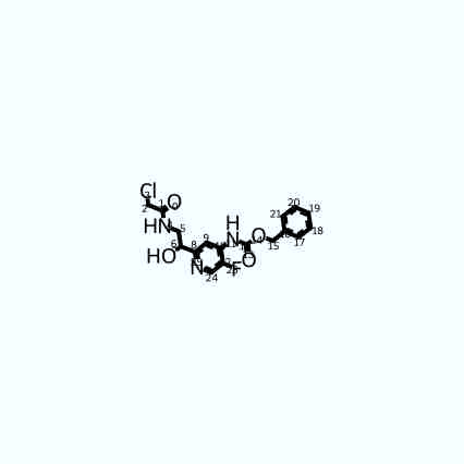 O=C(CCl)NCC(O)c1cc(NC(=O)OCc2ccccc2)c(F)cn1